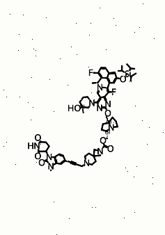 CCc1c(F)ccc2cc(O[Si](C(C)C)(C(C)C)C(C)C)cc(-c3ncc4c(N5CCC[C@@](C)(O)C5)nc(OC[C@@]56CCCN5[C@H](COC(=O)N5CC7(CCN(CC#Cc8ccc9c(c8)n(C)c(=O)n9C8CCC(=O)NC8=O)CC7)C5)CC6)nc4c3F)c12